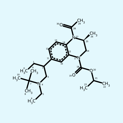 CCC(CN(CC)C(C)(C)C)c1ccc2c(c1)N(C(=O)OC(C)C)C[C@H](C)N2C(C)=O